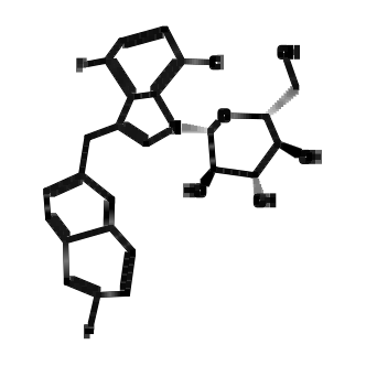 OC[C@H]1O[C@@H](n2cc(Cc3ccc4cc(F)ccc4c3)c3c(F)ccc(Cl)c32)[C@H](O)[C@@H](O)[C@@H]1O